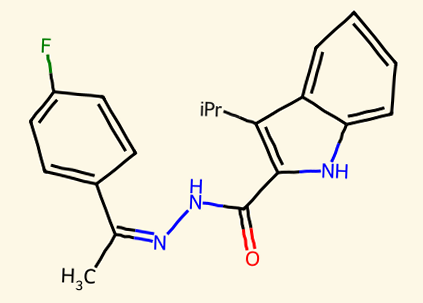 CC(=NNC(=O)c1[nH]c2ccccc2c1C(C)C)c1ccc(F)cc1